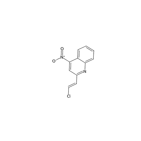 O=[N+]([O-])c1cc(/C=C/Cl)nc2ccccc12